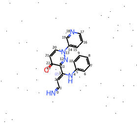 N=C/C=C(\Nc1ccccc1)c1nn(-c2cccnc2)ccc1=O